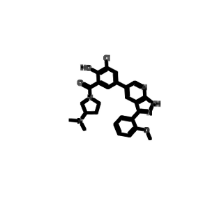 COc1ccccc1-c1n[nH]c2ncc(-c3cc(Cl)c(O)c(C(=O)N4CCC(N(C)C)C4)c3)cc12